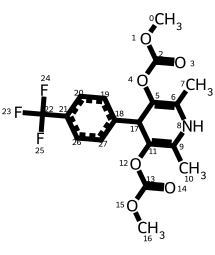 COC(=O)OC1=C(C)NC(C)=C(OC(=O)OC)C1c1ccc(C(F)(F)F)cc1